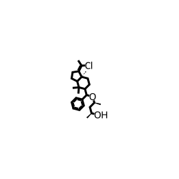 CC(Cl)=C1CCC2C(C)(C)C(C(O[C@@H](C)C[C@H](C)O)c3ccccc3)CC[C@]12C